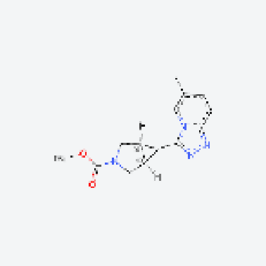 Cc1ccc2nnc(C3[C@H]4CN(C(=O)OC(C)(C)C)C[C@@H]34)n2c1